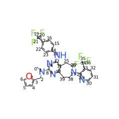 CN(Cc1ccco1)c1nc2c(c(Nc3ccc(C(F)(F)F)cc3)n1)CCN(c1ncccc1C(F)(F)F)CC2